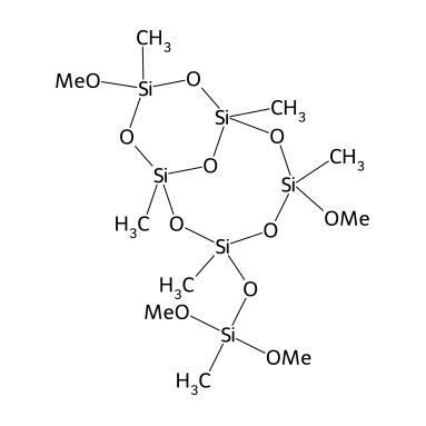 CO[Si](C)(OC)O[Si]1(C)O[Si](C)(OC)O[Si]2(C)O[Si](C)(OC)O[Si](C)(O1)O2